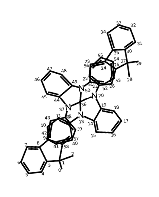 CC1(C)c2ccccc2-c2ccc(N3c4ccccc4N(c4ccc5c(c4)C(C)(C)c4ccccc4-5)C34N(c3ccccc3)c3ccccc3N4c3ccccc3)cc21